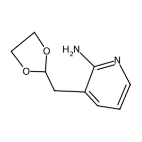 Nc1ncccc1CC1OCCO1